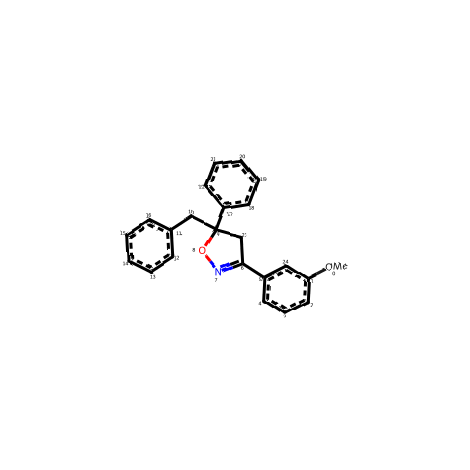 COc1cccc(C2=NOC(Cc3ccccc3)(c3ccccc3)C2)c1